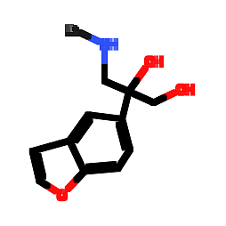 CCNCC(O)(CO)c1ccc2occc2c1